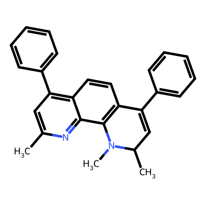 Cc1cc(-c2ccccc2)c2ccc3c(c2n1)N(C)C(C)C=C3c1ccccc1